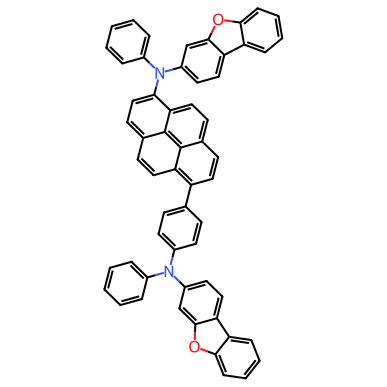 c1ccc(N(c2ccc(-c3ccc4ccc5c(N(c6ccccc6)c6ccc7c(c6)oc6ccccc67)ccc6ccc3c4c65)cc2)c2ccc3c(c2)oc2ccccc23)cc1